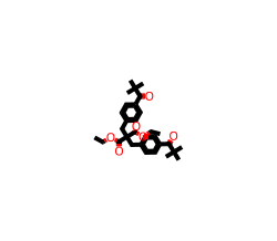 CCOC(=O)C(Cc1ccc(C(=O)C(C)(C)C)cc1)(Cc1ccc(C(=O)C(C)(C)C)cc1)C(=O)OCC